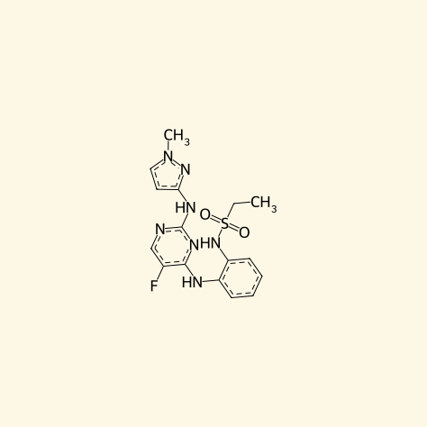 CCS(=O)(=O)Nc1ccccc1Nc1nc(Nc2ccn(C)n2)ncc1F